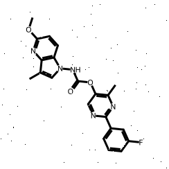 COc1ccc2c(n1)c(C)cn2NC(=O)Oc1cnc(-c2cccc(F)c2)nc1C